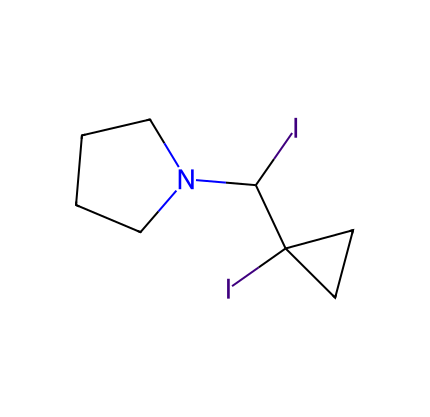 IC(N1CCCC1)C1(I)CC1